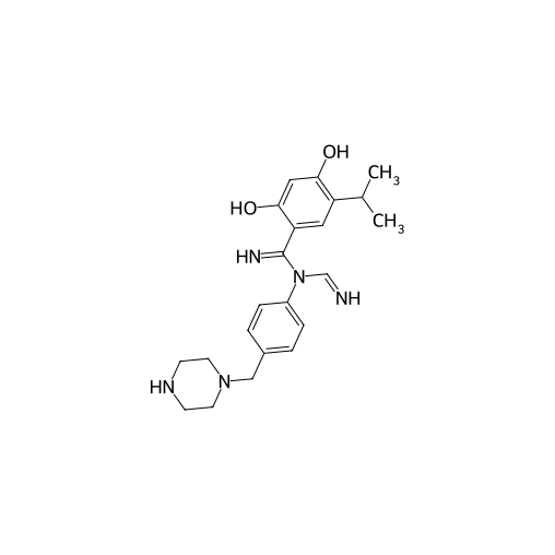 CC(C)c1cc(C(=N)N(C=N)c2ccc(CN3CCNCC3)cc2)c(O)cc1O